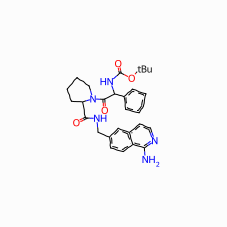 CC(C)(C)OC(=O)NC(C(=O)N1CCCCC1C(=O)NCc1ccc2c(N)nccc2c1)c1ccccc1